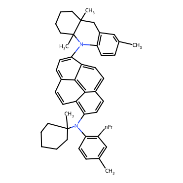 CCCc1cc(C)ccc1N(c1ccc2ccc3c(N4c5ccc(C)cc5CC5(C)CCCCC45C)ccc4ccc1c2c43)C1(C)CCCCC1